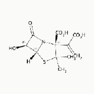 C=C(C(=O)O)[C@@]1(C(=O)O)N2C(=O)[C@H](O)[C@H]2SC1(C)C